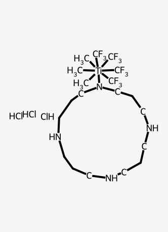 Cl.Cl.Cl.[CH3][Ti]([CH3])([CH3])([N]1CCCNCCCNCCCNCCC1)([C](F)(F)F)([C](F)(F)F)([C](F)(F)F)[C](F)(F)F